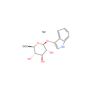 O=C([O-])[C@H]1O[C@@H](Oc2c[nH]c3ccccc23)[C@H](O)[C@@H](O)[C@@H]1O.[Na+]